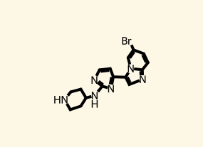 Brc1ccc2ncc(-c3ccnc(NC4CCNCC4)n3)n2c1